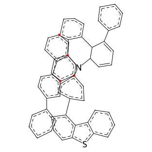 C1=CC(N(c2ccc(-c3cccc4sc5ccccc5c34)cc2)c2ccccc2-c2ccc(-c3ccccc3)cc2)C(c2ccccc2-c2ccccc2)C(c2ccccc2)=C1